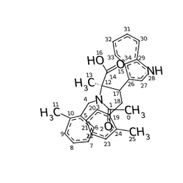 CC(=O)N(Cc1ccccc1C)[C@@](C)(C(=O)O)C(Cc1ccccc1C)c1c[nH]c2ccccc12